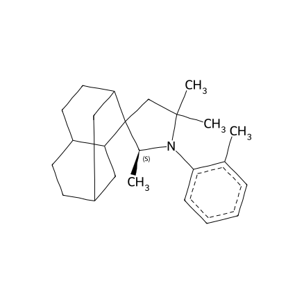 Cc1ccccc1N1[C@@H](C)C2(CC1(C)C)C1CCC3CCC(C1)CC32